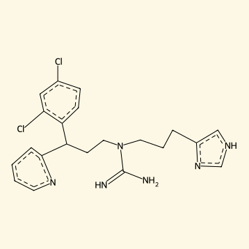 N=C(N)N(CCCc1c[nH]cn1)CCC(c1ccccn1)c1ccc(Cl)cc1Cl